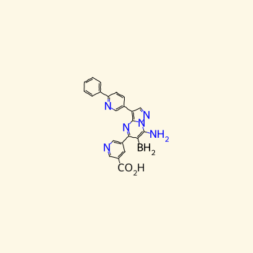 Bc1c(-c2cncc(C(=O)O)c2)nc2c(-c3ccc(-c4ccccc4)nc3)cnn2c1N